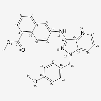 COC(=O)c1cccc2cc(Nc3nn(Cc4ccc(OC)cc4)c4cccnc34)ccc12